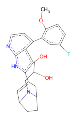 COc1ccc(F)cc1-c1ccnc2[nH]c(C3=CC4CCC(C3)N4CC(O)CO)cc12